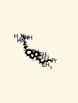 CC(C)CCC[C@H](C)CCCC1C2CC=C3CCC(SSCCNC(=N)N)CCC3(C)C2CCC1(C)C